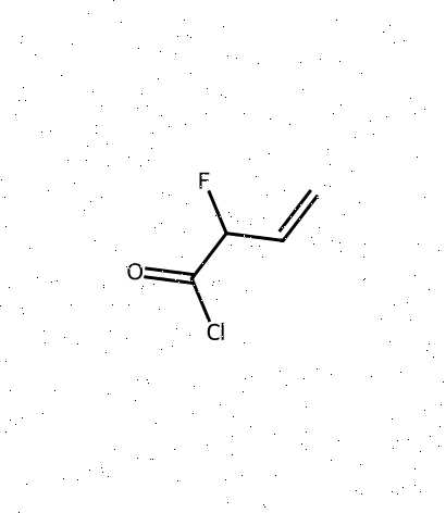 C=CC(F)C(=O)Cl